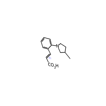 CC1CCN(c2ccccc2/C=C/C(=O)O)C1